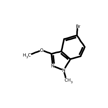 COc1nn(C)c2ccc(Br)cc12